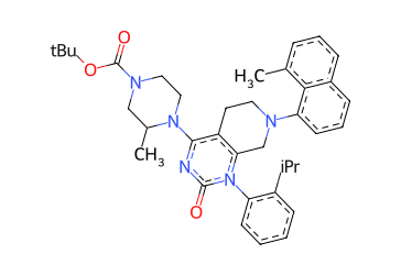 Cc1cccc2cccc(N3CCc4c(N5CCN(C(=O)OC(C)(C)C)CC5C)nc(=O)n(-c5ccccc5C(C)C)c4C3)c12